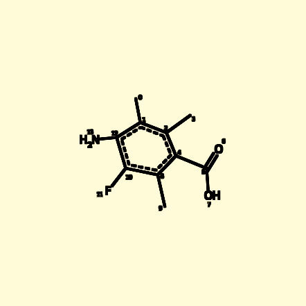 Cc1c(C)c(C(=O)O)c(C)c(F)c1N